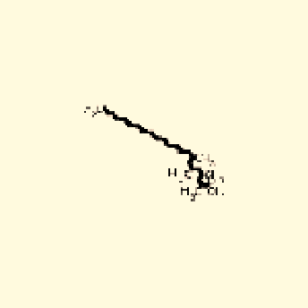 CCCCCCCCCCCCCCCC[C@H](C)C[C@H](C)C[C@H](C)C=C(C)C(=O)O